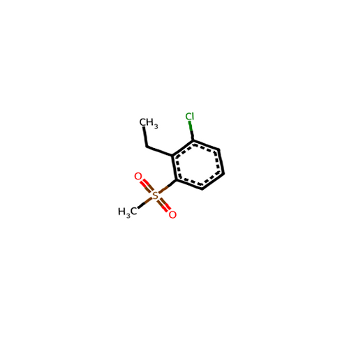 CCc1c(Cl)cccc1S(C)(=O)=O